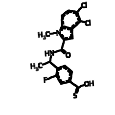 CC(NC(=O)c1cc2c(Cl)c(Cl)ccc2n1C)c1ccc(C(O)=S)cc1F